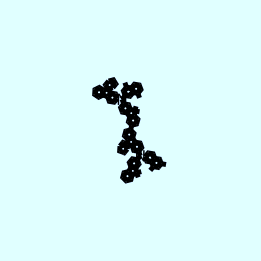 Cc1cc(C)c2cc(N(c3ccc4c(c3)C(C)(C)c3ccccc3-4)c3ccc4c(c3)C3(CC5CCC3C5)c3ccc(-c5ccc6c(c5)-c5ccc(N(c7ccc8c(c7)C7(CC9CCC7C9)c7ccccc7-8)c7cc(C)c8cccc(C)c8c7)cc5C6(C)C)cc3-4)ccc2c1